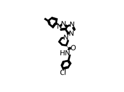 Cc1ccc(-n2cc3c(N4CCC[C@@H](C(=O)NCc5ccc(Cl)cc5)C4)ncnc3n2)cc1